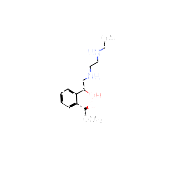 COC(=O)c1ccccc1C(O)CNCCNCOC(C)=O